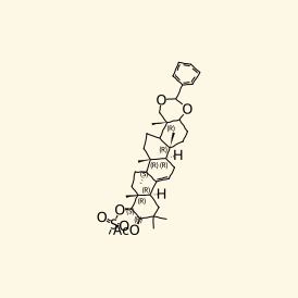 CC(=O)O[C@H]1[C@@H](OS(C)(=O)=O)[C@]2(C)CC[C@]3(C)C(=CC[C@@H]4[C@@]5(C)CCC6OC(c7ccccc7)OC[C@@]6(C)C5CC[C@]43C)[C@H]2CC1(C)C